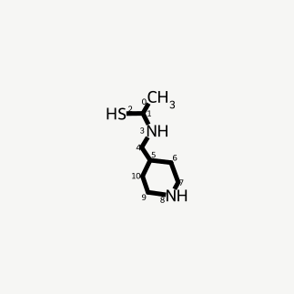 CC(S)NCC1CCNCC1